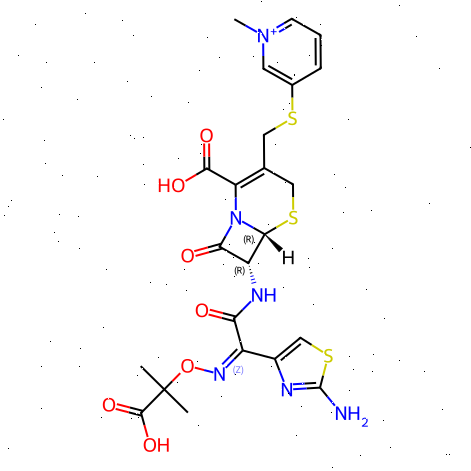 C[n+]1cccc(SCC2=C(C(=O)O)N3C(=O)[C@@H](NC(=O)/C(=N\OC(C)(C)C(=O)O)c4csc(N)n4)[C@H]3SC2)c1